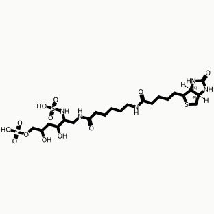 O=C(CCCCC1SC[C@@H]2NC(=O)N[C@H]12)NCCCCCC(=O)NCC(NS(=O)(=O)O)C(O)CC(O)COS(=O)(=O)O